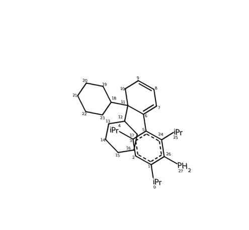 CC(C)c1cc(C(C)C)c(C2=CC=CCC2(C2CCCCC2)C2CCCCC2)c(C(C)C)c1P